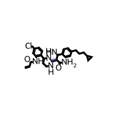 C=CC(=O)Nc1cc(Cl)ccc1C1CCN/C(=C(/C(=N)c2ccc(CCCC3CC3)cc2)C(N)=O)N1